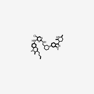 C=CCCC1=Cc2cc(Nc3nc(NCC4CCCN(c5ccc6c(C7CCC(=C)NC7=C)nn(C)c6c5)C4)ncc3Cl)ccc2N(C)C1=C